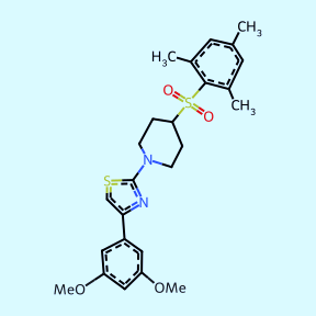 COc1cc(OC)cc(-c2csc(N3CCC(S(=O)(=O)c4c(C)cc(C)cc4C)CC3)n2)c1